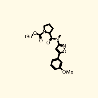 COc1cccc(-c2cc(N(C)C(=O)C3CCCN3C(=O)OC(C)(C)C)no2)c1